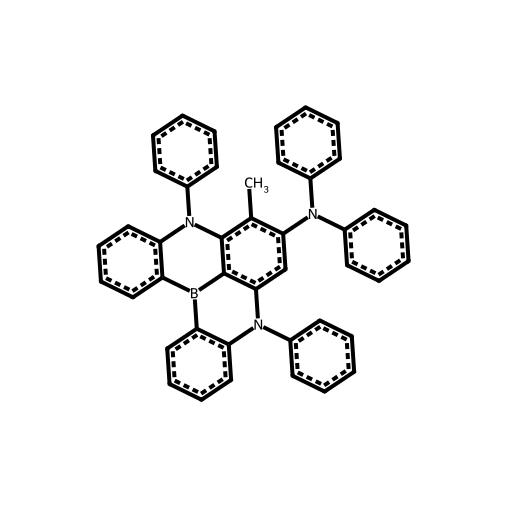 Cc1c(N(c2ccccc2)c2ccccc2)cc2c3c1N(c1ccccc1)c1ccccc1B3c1ccccc1N2c1ccccc1